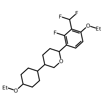 CCOc1ccc(C2CCC(C3CCC(OCC)CC3)CO2)c(F)c1C(F)F